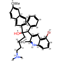 COc1ccc2cc(C(O)(CCCCN(C)C)C(c3ccccc3)c3cc4c(Br)cccc4nc3OC)ccc2c1